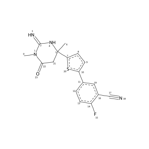 CN1C(=N)NC(C)(c2ccc(-c3ccc(F)c(C#N)c3)s2)CC1=O